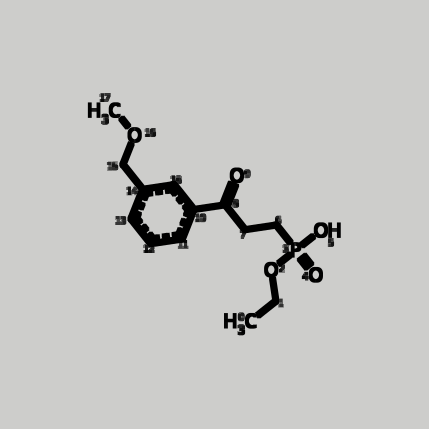 CCOP(=O)(O)CCC(=O)c1cccc(COC)c1